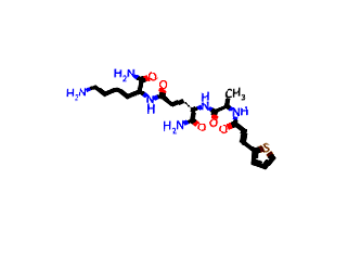 CC(NC(=O)/C=C/c1cccs1)C(=O)N[C@@H](CCC(=O)NC(CCCCN)C(N)=O)C(N)=O